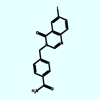 NC(=O)c1ccc(Cn2cnc3ccc(I)cc3c2=O)cc1